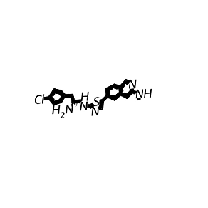 CNc1cc2cc(-c3cnc(NC[C@H](N)Cc4ccc(Cl)cc4)s3)ccc2cn1